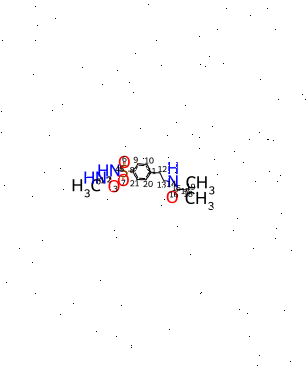 CNC(=O)NS(=O)(=O)c1ccc(CCNC(=O)C(C)C)cc1